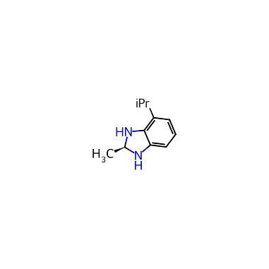 CC(C)c1cccc2c1N[C@H](C)N2